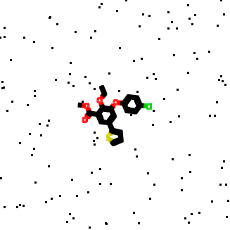 CCOc1c(Oc2ccc(Cl)cc2)cc(-c2cccs2)cc1C(=O)OC